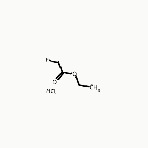 CCOC(=O)CF.Cl